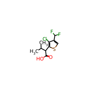 CC(C)C(C(=O)O)c1scc(C(F)F)c1Cl